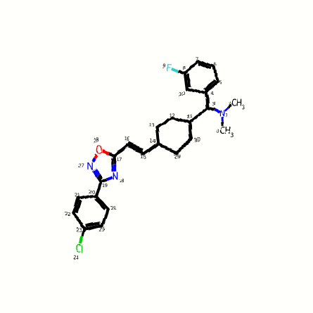 CN(C)C(c1cccc(F)c1)C1CCC(C=Cc2nc(-c3ccc(Cl)cc3)no2)CC1